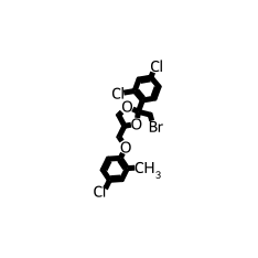 Cc1cc(Cl)ccc1OCC1COC(CBr)(c2ccc(Cl)cc2Cl)O1